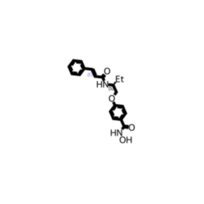 CC[C@@H](COc1ccc(C(=O)NO)cc1)NC(=O)/C=C/c1ccccc1